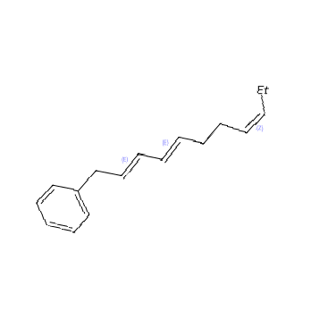 CC/C=C\CC/C=C/C=C/Cc1ccccc1